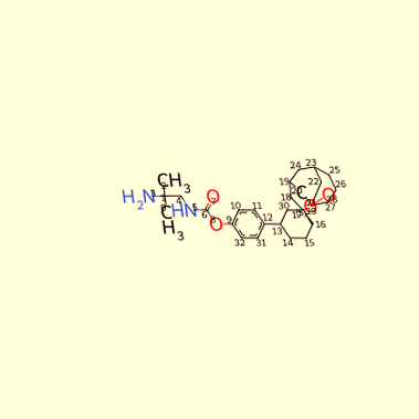 CC(C)(N)CNC(=O)Oc1ccc(C2CCC[C@]3(CC4CC5CC(C4)CC(C5)OO3)C2)cc1